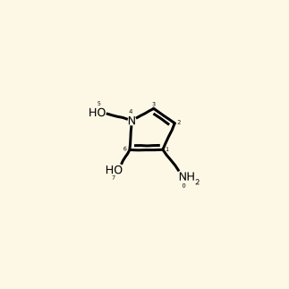 Nc1ccn(O)c1O